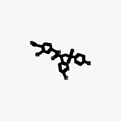 N#Cc1ccc(NC(=O)C(CS(=O)(=O)c2ccc(Cl)cc2)c2ccc(Cl)nc2)cc1Cl